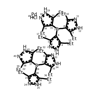 CCc1n[nH]c(CC)c1B(c1c(CC)n[nH]c1CC)c1c(CC)n[nH]c1CC.CCc1n[nH]c(CC)c1B(c1c(CC)n[nH]c1CC)c1c(CC)n[nH]c1CC.Cl.[Pd]